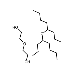 CCCCC(CCC)OC(CCC)CCCC.OCCOCCO